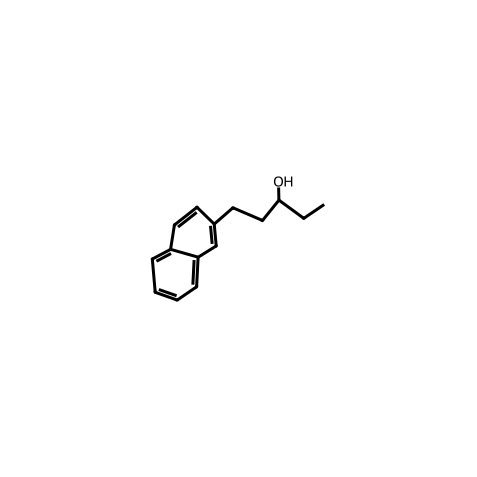 CCC(O)CCc1ccc2ccccc2c1